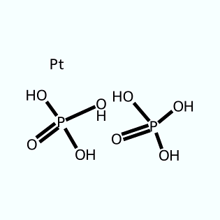 O=P(O)(O)O.O=P(O)(O)O.[Pt]